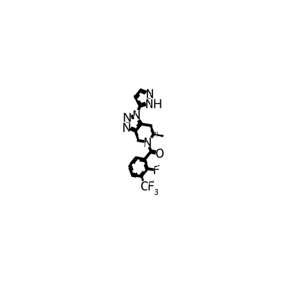 C[C@@H]1Cc2c(nnn2-c2ccn[nH]2)CN1C(=O)c1cccc(C(F)(F)F)c1F